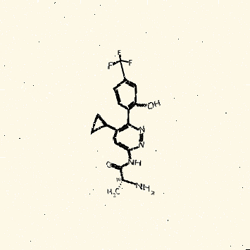 C[C@@H](N)C(=O)Nc1cc(C2CC2)c(-c2ccc(C(F)(F)F)cc2O)nn1